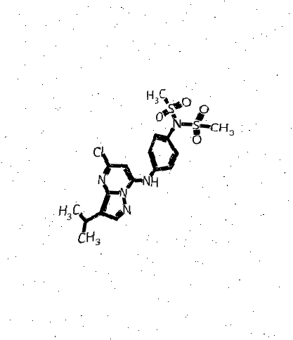 CC(C)c1cnn2c(Nc3ccc(N(S(C)(=O)=O)S(C)(=O)=O)cc3)cc(Cl)nc12